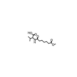 COC(=O)CCCCCC(=O)NC(C(=O)O)C(C)C